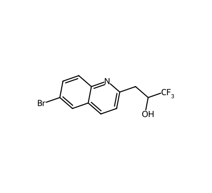 OC(Cc1ccc2cc(Br)ccc2n1)C(F)(F)F